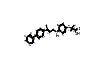 C/C(=C\CNc1ccc(OC(C)(C)C(=O)O)cc1)c1ccc(-c2ccccc2)cc1